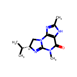 Cc1nc2c([nH]1)C(=O)N(C)C1=N[C@H](C(C)C)CN12